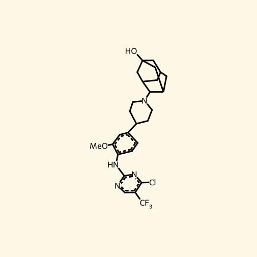 COc1cc(C2CCN(C3C4CC5CC3CC(O)(C5)C4)CC2)ccc1Nc1ncc(C(F)(F)F)c(Cl)n1